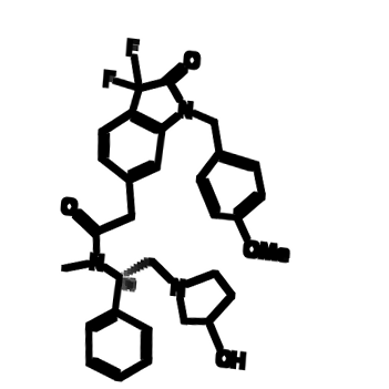 COc1ccc(CN2C(=O)C(F)(F)c3ccc(CC(=O)N(C)[C@H](CN4CCC(O)C4)c4ccccc4)cc32)cc1